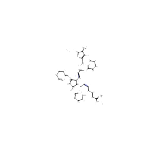 CC1SC(CC[C@@H](/C=C/C2[C@@H](C/C=C\CCCC(=O)O)[C@@H](OC3CCCCO3)C[C@H]2OC2CCCCO2)OC2CCCCO2)=CC1Br